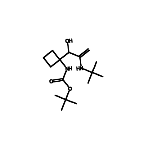 C=C(NC(C)(C)C)C(O)C1(NC(=O)OC(C)(C)C)CCC1